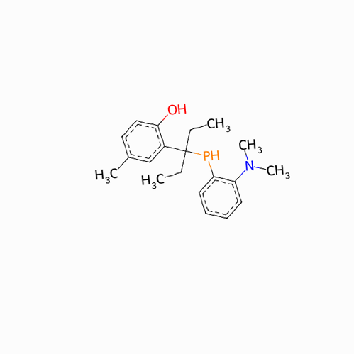 CCC(CC)(Pc1ccccc1N(C)C)c1cc(C)ccc1O